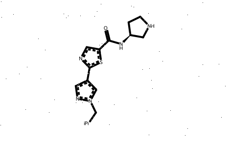 CC(C)Cn1cc(-c2ncc(C(=O)N[C@H]3CCNC3)s2)cn1